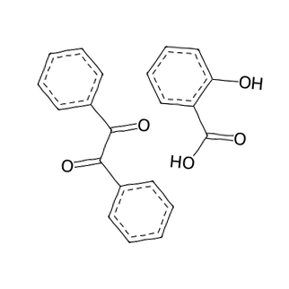 O=C(C(=O)c1ccccc1)c1ccccc1.O=C(O)c1ccccc1O